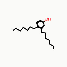 CCCCCCCc1ccc(O)cc1CCCCCCC